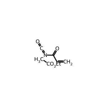 C=CC(=O)N=C=O.CCOC(C)=O